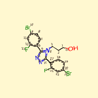 OCCCn1c(-c2ccc(Br)cc2F)nnc1-c1ccc(Br)cc1F